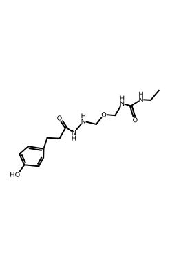 CCNC(=O)NCOCNNC(=O)CCc1ccc(O)cc1